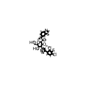 CO[C@@H]1[C@@H](n2cc(-c3ccc(Cl)c(F)c3Cl)nn2)[C@@H](O)[C@@H](CO)O[C@H]1C(=O)N(C)c1ccc2ncsc2c1